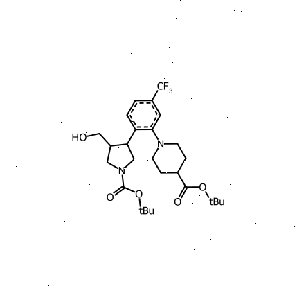 CC(C)(C)OC(=O)C1CCN(c2cc(C(F)(F)F)ccc2C2CN(C(=O)OC(C)(C)C)CC2CO)CC1